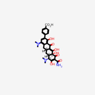 CN(C)c1cc(-c2ccc(C(=O)O)cc2)c(O)c2c1C[C@H]1C[C@H]3[C@H](N(C)C)C(O)=C(C(N)=O)C(=O)[C@@]3(O)C(O)=C1C2=O